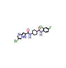 O=C(NC1CCC(C(=O)Nc2ccc(F)cc2Cl)CC1)c1cc2ncc(Br)cn2n1